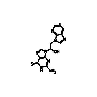 Nc1nc2c(ncn2C(O)Cn2cnc3cncnc32)c(=S)[nH]1